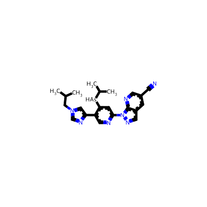 CC(C)Cn1cnc(-c2cnc(-n3ncc4cc(C#N)cnc43)cc2[AsH]C(C)C)c1